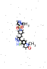 CN1C(=O)CCc2c1ccc(-c1[nH]ncc1CC1CCN(S(=O)(=O)c3ccnn3C)CC1)c2F